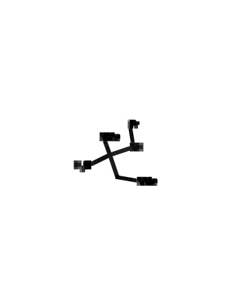 CNCC([SiH3])(NC)NC(C)C